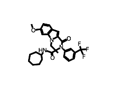 COc1ccc2cc3n(c2c1)CC(C)(C(=O)NC1CCCCCC1)N(c1cccc(C(F)(F)F)c1)C3=O